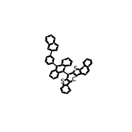 c1cc(-c2ccc3ccccc3c2)cc(-c2c3ccccc3c(-c3c4sc5ccccc5c4cc4c3sc3c5ccccc5ccc43)c3ccccc23)c1